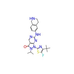 CC(C)n1c(=O)c2cnc(Nc3ccc4c(c3)CCNC4)nc2n1-c1nc(C(C)(C)C)c(F)s1